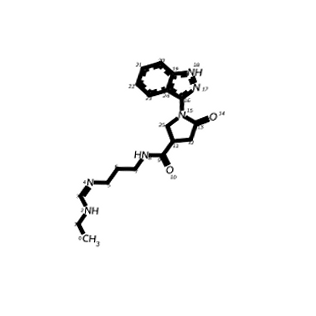 CCN/C=N\CCCNC(=O)C1CC(=O)N(c2n[nH]c3ccccc23)C1